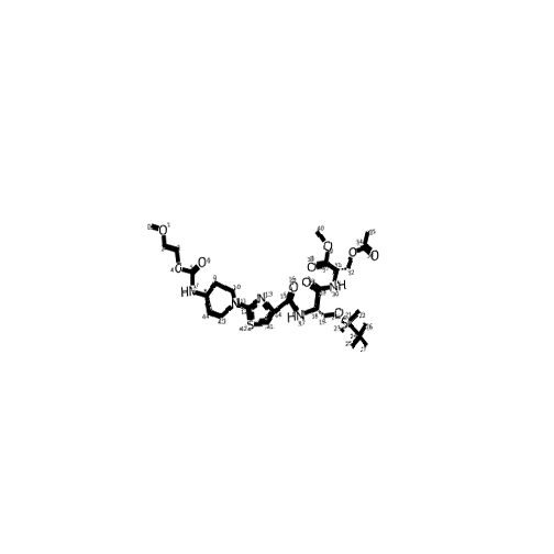 COCCOC(=O)NC1CCN(c2nc(C(=O)N[C@@H](CO[Si](C)(C)C(C)(C)C)C(=O)N[C@@H](COC(C)=O)C(=O)OC)cs2)CC1